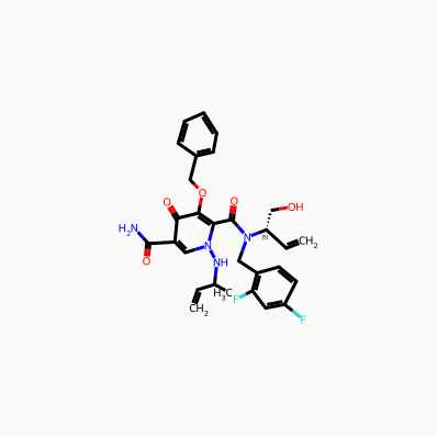 C=CC(C)Nn1cc(C(N)=O)c(=O)c(OCc2ccccc2)c1C(=O)N(Cc1ccc(F)cc1F)[C@@H](C=C)CO